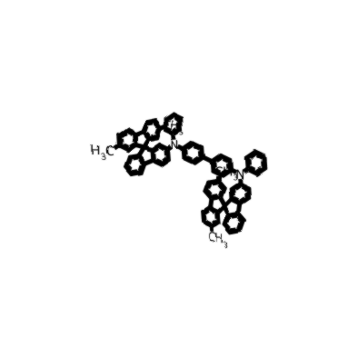 Cc1ccc2c(c1)C1(c3ccccc3-c3ccc(N(c4ccccc4)c4ccc(-c5ccc(N(c6ccccc6)c6ccc7c(c6)C6(c8ccccc8-7)c7cc(C)ccc7-c7ccc(C)cc76)cc5)cc4)cc31)c1cc(C)ccc1-2